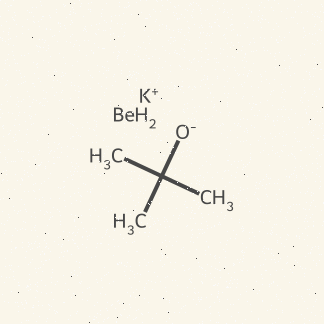 CC(C)(C)[O-].[BeH2].[K+]